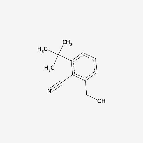 CC(C)(C)c1cccc([CH]O)c1C#N